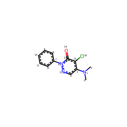 CN(C)c1cnn(-c2ccccc2)c(=O)c1Cl